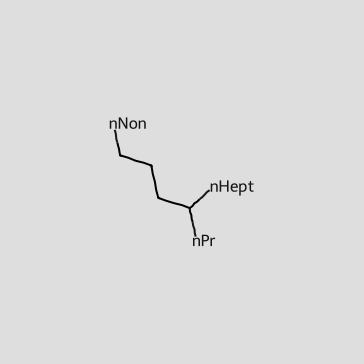 [CH2]CCC(CCCCCCC)CCCCCCCCCCCC